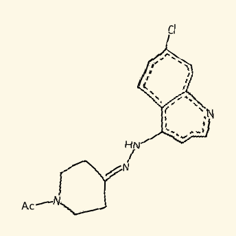 CC(=O)N1CCC(=NNc2ccnc3cc(Cl)ccc23)CC1